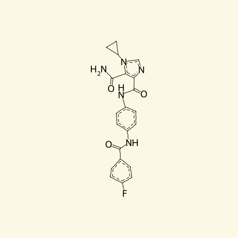 NC(=O)c1c(C(=O)Nc2ccc(NC(=O)c3ccc(F)cc3)cc2)ncn1C1CC1